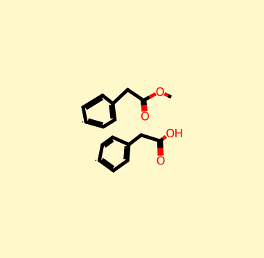 COC(=O)Cc1cc[c]cc1.O=C(O)Cc1cc[c]cc1